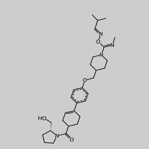 C/N=C(\O/N=C/C(C)C)N1CCC(COc2ccc(C3=CCC(C(=O)N4CCC[C@@H]4CO)CC3)cc2)CC1